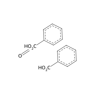 C=O.O=C(O)c1ccccc1.O=C(O)c1ccccc1